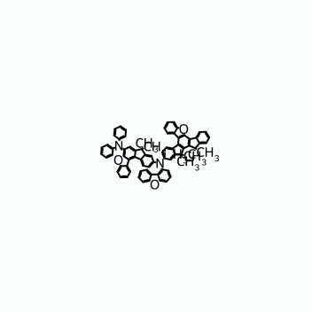 CC1(C)c2cc(N(c3ccc4c(c3)C(C)(C)c3c5c(c6oc7ccccc7c6c3-4)-c3ccccc3C5(C)C)c3cccc4oc5ccccc5c34)ccc2-c2c1cc(N(c1ccccc1)c1ccccc1)c1oc3ccccc3c21